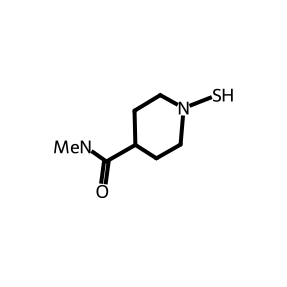 CNC(=O)C1CCN(S)CC1